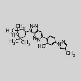 Cc1cnn(-c2ccc(-c3cc4nnn(C5CC(C)(C)NC(C)(C)C5)c4nn3)c(O)c2)c1